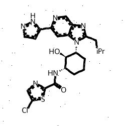 CC(C)Cc1nc2cnc(-c3ccn[nH]3)cc2n1[C@@H]1CCC[C@H](NC(=O)c2ncc(Cl)s2)[C@H]1O